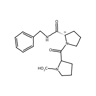 O=C(NCc1ccccc1)[C@@H]1CCCN1C(=O)C1CCCN1C(=O)O